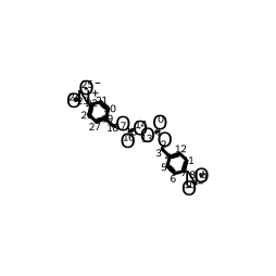 O=C(OCc1ccc([N+](=O)[O-])cc1)OOC(=O)OCc1ccc([N+](=O)[O-])cc1